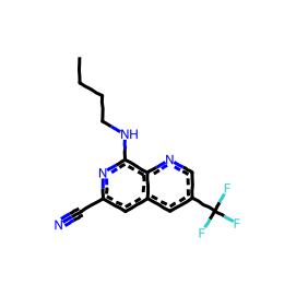 CCCCNc1nc(C#N)cc2cc(C(F)(F)F)cnc12